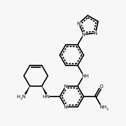 NC(=O)c1cnc(N[C@@H]2CC=CC[C@@H]2N)nc1Nc1cccc(-n2nccn2)c1